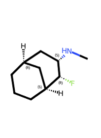 CN[C@H]1C[C@@H]2CCC[C@@H](C2)[C@H]1F